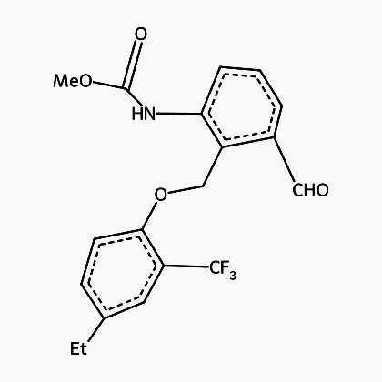 CCc1ccc(OCc2c(C=O)cccc2NC(=O)OC)c(C(F)(F)F)c1